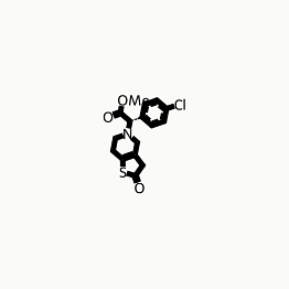 COC(=O)[C@H](c1ccc(Cl)cc1)N1CCC2=C(CC(=O)S2)C1